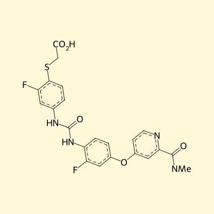 CNC(=O)c1cc(Oc2ccc(NC(=O)Nc3ccc(SCC(=O)O)c(F)c3)c(F)c2)ccn1